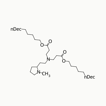 CCCCCCCCCCCCCCCOC(=O)CCN(CCC(=O)OCCCCCCCCCCCCCCC)CCC1CCCN1C